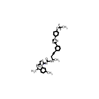 Cc1ccc(C(C)C)c(N2C(=O)CS/C2=N\C(=O)NC(C)CC#Cc2cccc(-c3ncn(-c4ccc(OC(C)(F)F)cc4)n3)c2)c1